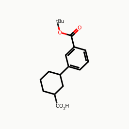 CC(C)(C)OC(=O)c1cccc(C2CCCC(C(=O)O)C2)c1